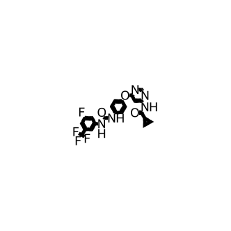 O=C(Nc1ccc(Oc2cc(NC(=O)C3CC3)ncn2)cc1)Nc1cc(F)cc(C(F)(F)F)c1